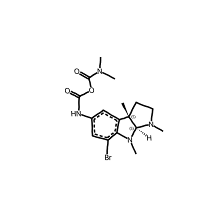 CN(C)C(=O)OC(=O)Nc1cc(Br)c2c(c1)[C@]1(C)CCN(C)[C@H]1N2C